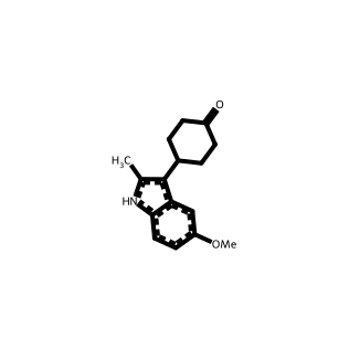 COc1ccc2[nH]c(C)c(C3CCC(=O)CC3)c2c1